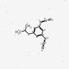 CC(C)Cc1cc(N=[N+]=[N-])cc(N=[N+]=[N-])c1